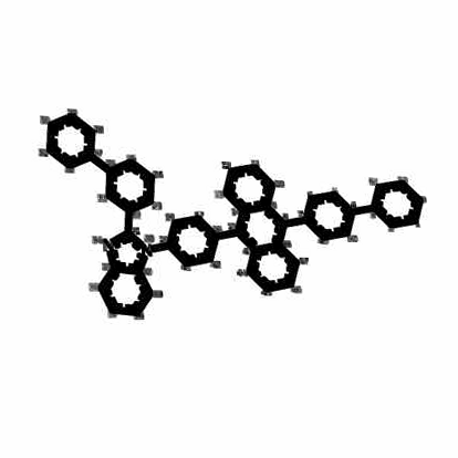 c1ccc(-c2ccc(-c3c4ccccc4c(-c4ccc(-n5c(-c6cccc(-c7ccccc7)c6)nc6ccccc65)cc4)c4ccccc34)cc2)cc1